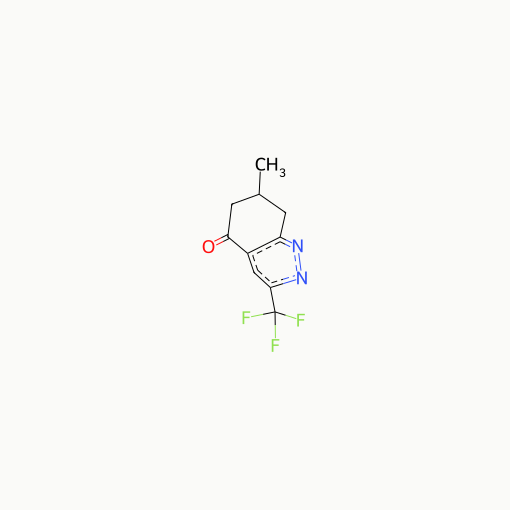 CC1CC(=O)c2cc(C(F)(F)F)nnc2C1